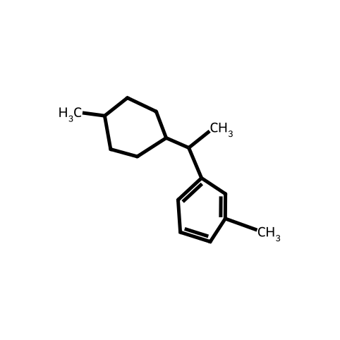 Cc1cccc(C(C)C2CCC(C)CC2)c1